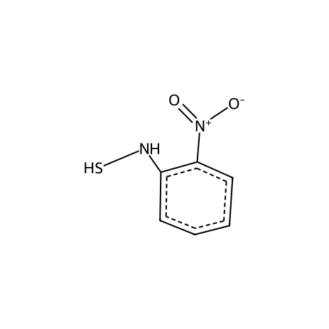 O=[N+]([O-])c1ccccc1NS